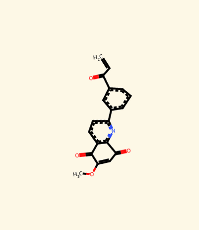 C=CC(=O)c1cccc(-c2ccc3c(n2)C(=O)C=C(OC)C3=O)c1